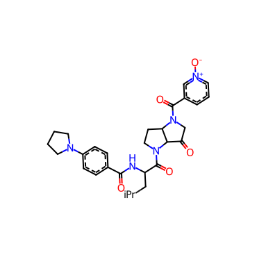 CC(C)CC(NC(=O)c1ccc(N2CCCC2)cc1)C(=O)N1CCC2C1C(=O)CN2C(=O)c1ccc[n+]([O-])c1